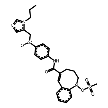 CCCn1cncc1C[S+]([O-])c1ccc(NC(=O)C2=Cc3ccccc3N(OS(C)(=O)=O)CCC2)cc1